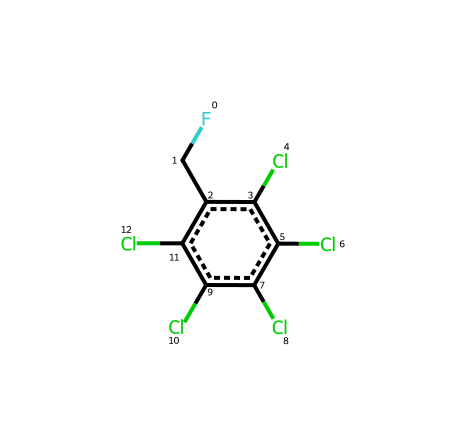 FCc1c(Cl)c(Cl)c(Cl)c(Cl)c1Cl